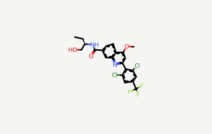 CC[C@H](CO)NC(=O)c1ccc2c(OC)cc(-c3c(Cl)cc(C(F)(F)F)cc3Cl)nc2c1